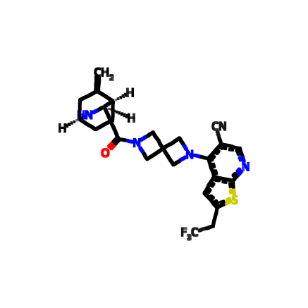 C=C1C[C@@H]2CC[C@H]1[C@@H](C(=O)N1CC3(C1)CN(c1c(C#N)cnc4sc(CC(F)(F)F)cc14)C3)N2